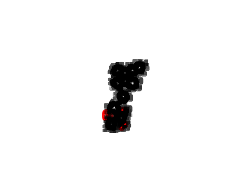 c1cc(-c2ccc3c(c2)C2(c4ccccc4O3)c3ccccc3-c3ccccc32)cc(-c2cccc3c2-c2ccccc2C32c3ccccc3-c3cc4ccccc4cc32)c1